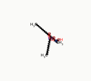 CCCCCCCCC=CCCCCCCCC(=O)OCC(CNC(=O)OCCN(CC)CCO)OC(=O)CCCCCCCC=CCCCCCCCC